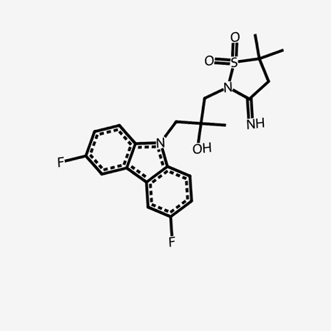 CC(O)(CN1C(=N)CC(C)(C)S1(=O)=O)Cn1c2ccc(F)cc2c2cc(F)ccc21